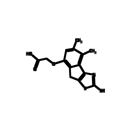 Cc1cc(OCC(=O)O)c2c(c1C)-c1nc(S)sc1C2